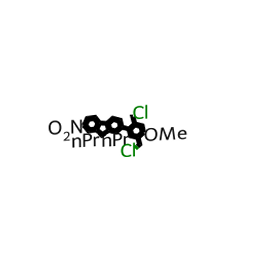 CCCC1(CCC)c2cc(-c3cc(CCl)c(OC)cc3CCl)ccc2-c2ccc([N+](=O)[O-])cc21